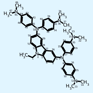 CCn1c2ccc(N(c3ccc(N(C)C)cc3)c3ccc(N(C)C)cc3)cc2c2cc(N(c3ccc(N(C)C)cc3)c3ccc(N(C)C)cc3)ccc21